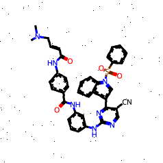 CN(C)C/C=C/C(=O)Nc1ccc(C(=O)Nc2cccc(Nc3ncc(C#N)c(-c4cn(S(=O)(=O)c5ccccc5)c5ccccc45)n3)c2)cc1